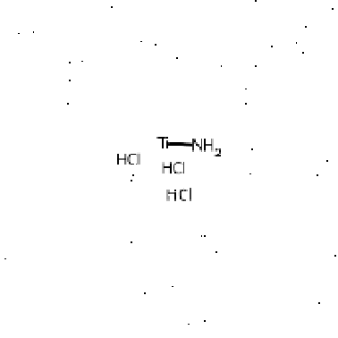 Cl.Cl.Cl.[NH2][Ti]